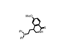 COc1ccc2c(c1)C(CCN(C(C)C)C(C)C)CNC2=S